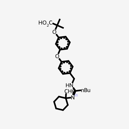 CCCC/C(=N/C1(C=O)CCCCC1)NCc1ccc(Oc2cccc(OC(C)(C)C(=O)O)c2)cc1